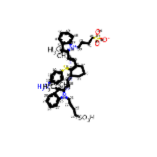 CC1(C)C(/C=C/C2=C(Sc3ccc(N)cc3)C(=C/C=C3/N(CCCCS(=O)(=O)O)c4ccccc4C3(C)C)/CCC2)=[N+](CCCCS(=O)(=O)[O-])c2ccccc21